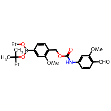 CCOB(OC(C)(C)CC)c1ccc(COC(=O)Nc2ccc(C=O)c(OC)c2)c(OC)c1